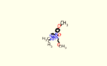 CCOc1ccc(N(C(=O)NCCCOC)c2ccnc(NC(C)C)n2)cc1